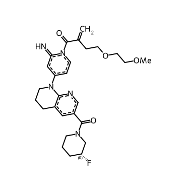 C=C(CCOCCOC)C(=O)n1ccc(N2CCCc3cc(C(=O)N4CCC[C@@H](F)C4)cnc32)cc1=N